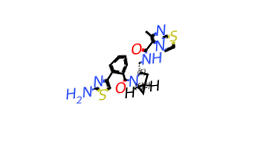 Cc1nc2sccn2c1C(=O)NC[C@@H]1C[C@@H]2C[C@@H]2N1C(=O)c1ccccc1-c1csc(N)n1